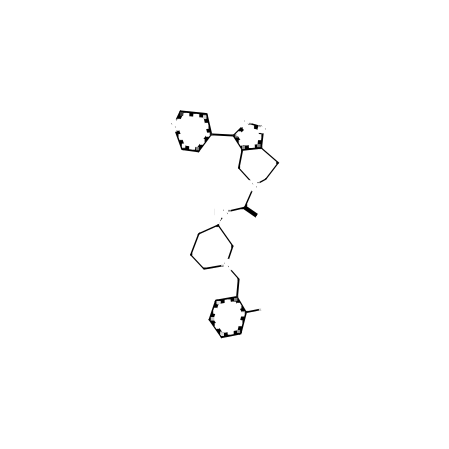 O=C(N[C@@H]1CCCN(Cc2ccccc2C(F)(F)F)C1)N1CCc2[nH]nc(-c3ccncc3)c2C1